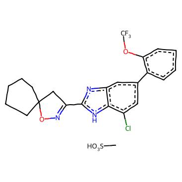 CS(=O)(=O)O.FC(F)(F)Oc1ccccc1-c1cc(Cl)c2[nH]c(C3=NOC4(CCCCC4)C3)nc2c1